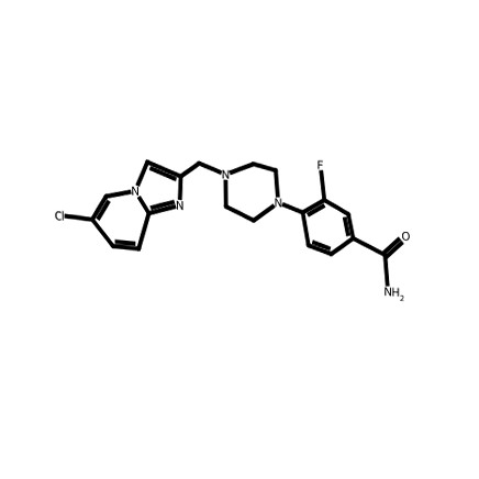 NC(=O)c1ccc(N2CCN(Cc3cn4cc(Cl)ccc4n3)CC2)c(F)c1